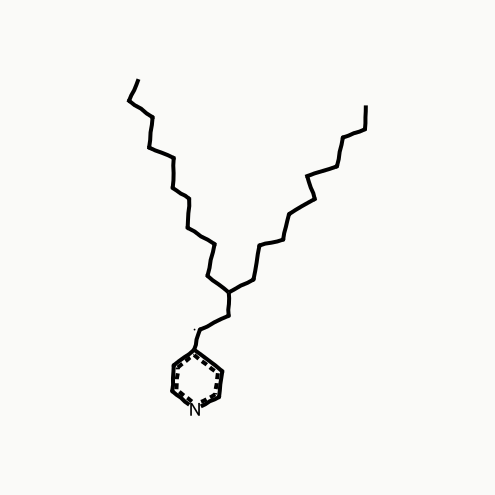 CCCCCCCCCCC(C[CH]c1ccncc1)CCCCCCCCCC